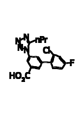 CCCc1nnnn1-c1cc(C(=O)O)cc(-c2ccc(F)cc2Cl)c1